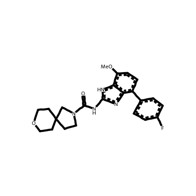 COc1ccc(-c2ccc(F)cc2)c2nc(NC(=O)N3CCC4(CCOCC4)C3)[nH]c12